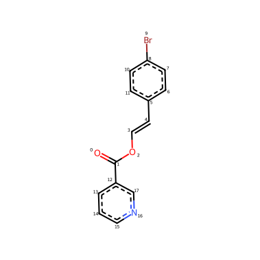 O=C(O/C=C/c1ccc(Br)cc1)c1cccnc1